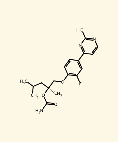 Cc1nccc(-c2ccc(OC[C@](C)(CC(C)C)OC(N)=O)c(F)c2)n1